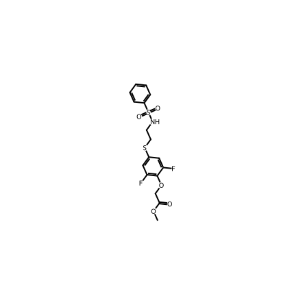 COC(=O)COc1c(F)cc(SCCNS(=O)(=O)c2ccccc2)cc1F